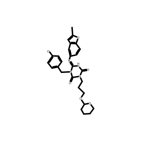 Cc1cc2cc(/N=c3\[nH]c(=O)n(CCCOC4CCCCO4)c(=O)n3Cc3ccc(Cl)cc3)ccc2o1